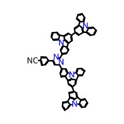 N#Cc1ccc(-c2cc(-c3ccc4c5cc(-c6cc7c8ccccc8n8c9ccccc9c(c6)c78)cc6c7ccccc7n(c4c3)c65)nc(-c3ccc4c5cc(-c6cc7c8ccccc8n8c9ccccc9c(c6)c78)cc6c7ccccc7n(c4c3)c65)n2)cc1